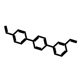 C=Cc1ccc(-c2ccc(-c3cccc(C=C)c3)cc2)cc1